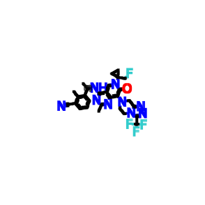 Cc1nc(N[C@H](C)c2cccc(C#N)c2C)c2cn(C3(CF)CC3)c(=O)c(N3CCn4c(nnc4C(F)(F)F)C3)c2n1